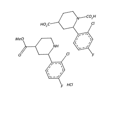 COC(=O)C1CCNC(c2ccc(F)cc2Cl)C1.Cl.O=C(O)C1CCN(C(=O)O)C(c2ccc(F)cc2Cl)C1